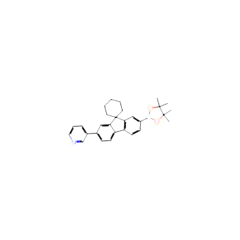 CC1(C)OB(c2ccc3c(c2)C2(CCCCC2)c2cc(-c4cccnc4)ccc2-3)OC1(C)C